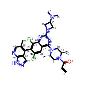 C=CC(=O)N1C[C@H](C)N(c2nc(N3CC(N(C)C)C3)nc3c(F)c(-c4c(C)cnc5[nH]ncc45)c(Cl)cc23)C[C@H]1C